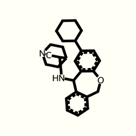 c1ccc2c(c1)COc1ccc(C3CCCCC3)cc1C2NC1CN2CCC1CC2